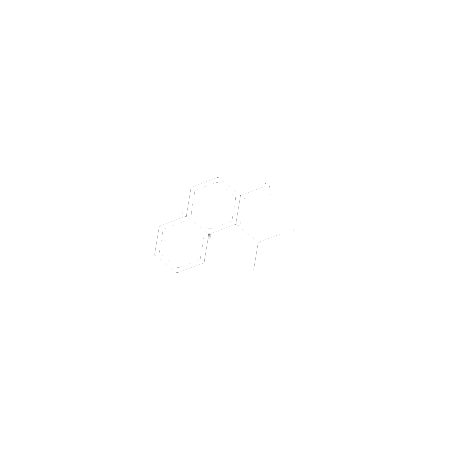 CC(=O)OC(C)c1c([N+](=O)[O-])ccc2ccccc12